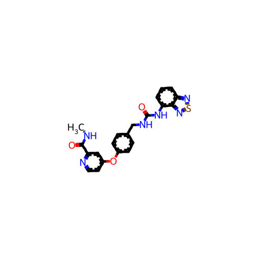 CNC(=O)c1cc(Oc2ccc(CNC(=O)Nc3cccc4nsnc34)cc2)ccn1